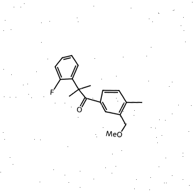 COCc1cc(C(=O)C(C)(C)c2ccccc2F)ccc1C